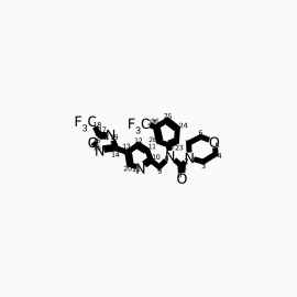 O=C(N1CCOCC1)N(Cc1ccc(-c2noc(C(F)(F)F)n2)cn1)c1cccc(C(F)(F)F)c1